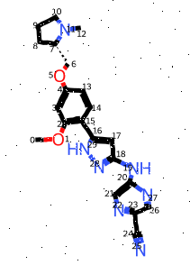 COc1cc(OC[C@@H]2CCCN2C)ccc1-c1cc(Nc2cnc(C#N)cn2)n[nH]1